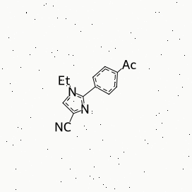 CCn1cc(C#N)nc1-c1ccc(C(C)=O)cc1